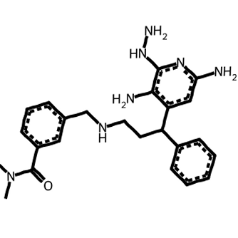 CN(C)C(=O)c1cccc(CNCCC(c2ccccc2)c2cc(N)nc(NN)c2N)c1